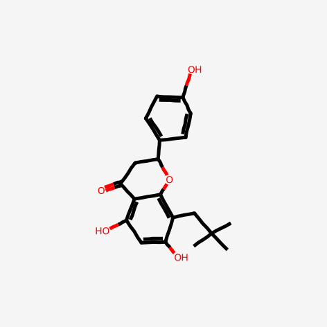 CC(C)(C)Cc1c(O)cc(O)c2c1OC(c1ccc(O)cc1)CC2=O